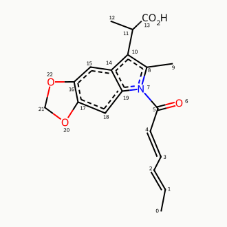 C/C=C/C=C/C(=O)n1c(C)c(C(C)C(=O)O)c2cc3c(cc21)OCO3